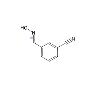 N#Cc1cccc(/C=N/O)c1